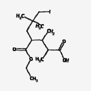 CCOC(=O)C(CC(C)(C)CI)C(C)C(C)C(=O)O